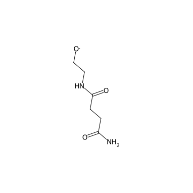 NC(=O)CCC(=O)NCC[O]